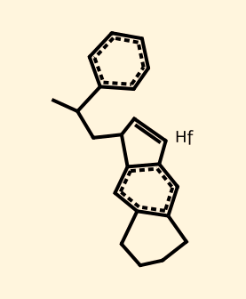 CC(CC1C=Cc2cc3c(cc21)CCCC3)c1ccccc1.[Hf]